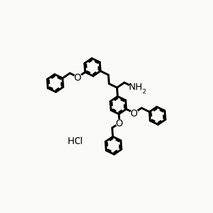 Cl.NCC(CCc1cccc(OCc2ccccc2)c1)c1ccc(OCc2ccccc2)c(OCc2ccccc2)c1